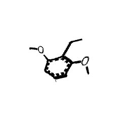 CCc1c(OC)c[c]cc1OC